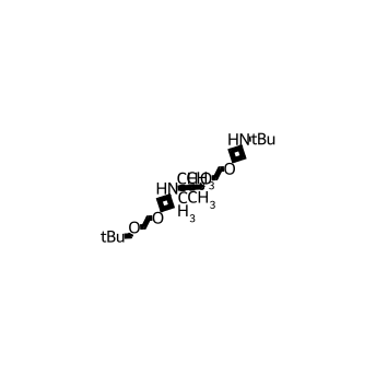 CC(C)(C)COCCO[C@H]1C[C@@H](NC(C)(C)C(C)(C)COCCO[C@H]2C[C@H](NC(C)(C)C)C2)C1